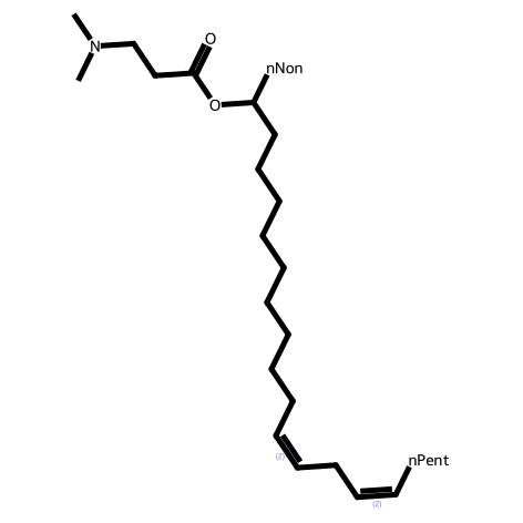 CCCCC/C=C\C/C=C\CCCCCCCCCC(CCCCCCCCC)OC(=O)CCN(C)C